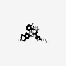 Cn1cc(C2=CNC(N)(c3c(F)cccc3F)N=C2Nc2ccc3c(c2)CNCC3)cn1